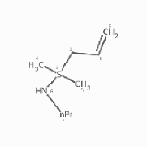 C=CCS(C)(C)NCCC